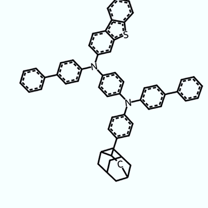 c1ccc(-c2ccc(N(c3ccc(C4CC5CC6CC(C5)CC4C6)cc3)c3ccc(N(c4ccc(-c5ccccc5)cc4)c4ccc5c(c4)sc4ccccc45)cc3)cc2)cc1